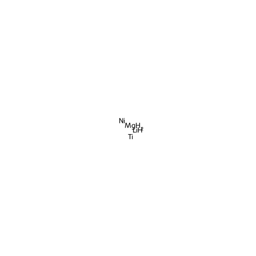 [LiH].[MgH2].[Ni].[Ti]